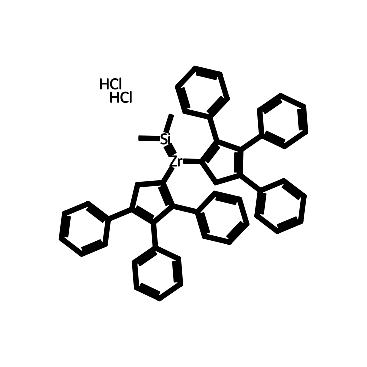 C[Si](C)=[Zr]([C]1=C(c2ccccc2)C(c2ccccc2)=C(c2ccccc2)C1)[C]1=C(c2ccccc2)C(c2ccccc2)=C(c2ccccc2)C1.Cl.Cl